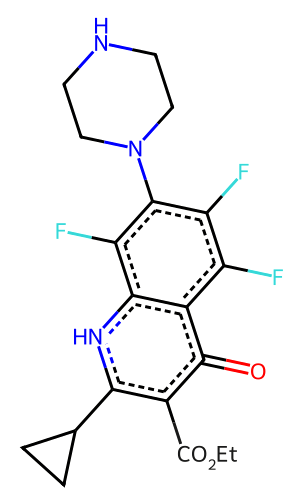 CCOC(=O)c1c(C2CC2)[nH]c2c(F)c(N3CCNCC3)c(F)c(F)c2c1=O